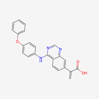 C=C(C(=O)O)c1ccc2c(Nc3ccc(Oc4ccccc4)cc3)ncnc2c1